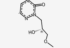 COC[C@H](O)Cn1n[c]ccc1=O